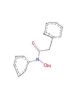 O=C(Cc1ccccc1)N(O)c1ccccc1